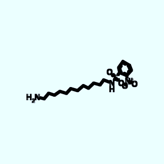 NCCCCCCCCCCCCNS(=O)(=O)c1ccccc1[N+](=O)[O-]